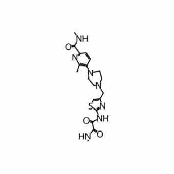 CNC(=O)C(=O)Nc1nc(CN2CCN(c3ccc(C(=O)NC)nc3C)CC2)cs1